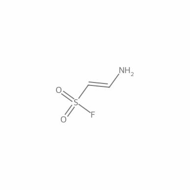 N/C=C/S(=O)(=O)F